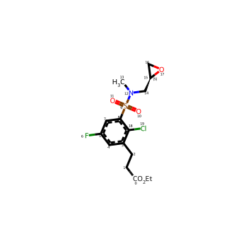 CCOC(=O)CCc1cc(F)cc(S(=O)(=O)N(C)C[C@H]2CO2)c1Cl